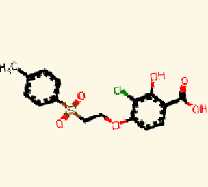 Cc1ccc(S(=O)(=O)CCOc2ccc(C(=O)O)c(O)c2Cl)cc1